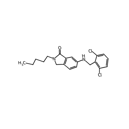 CCCCCN1Cc2ccc(NCc3c(Cl)cccc3Cl)cc2C1=O